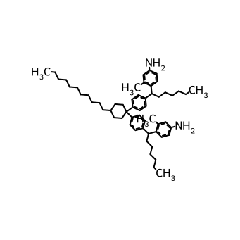 CCCCCCCCCCCC1CCC(c2ccc(C(CCCCCC)c3ccc(N)cc3C)cc2)(c2ccc(C(CCCCCC)c3ccc(N)cc3C)cc2)CC1